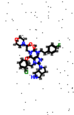 O=C(Cn1c(=O)c2c(nc(N3CCC4CNCC43)n2Cc2ccccc2Cl)n(CCc2ccc(F)cc2)c1=O)N1CCOCC1